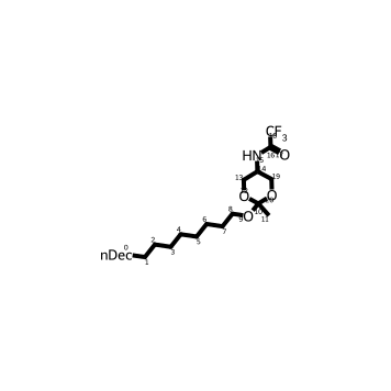 CCCCCCCCCCCCCCCCCCOC1(C)OCC(NC(=O)C(F)(F)F)CO1